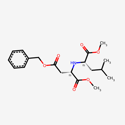 COC(=O)[C@H](CC(=O)OCc1ccccc1)N[C@@H](CC(C)C)C(=O)OC